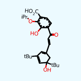 CC(C)Oc1c(C(=O)O)ccc(C(=O)/C=C/C2=CC(C(C)(C)C)=CC(O)(C(C)(C)C)C2)c1O